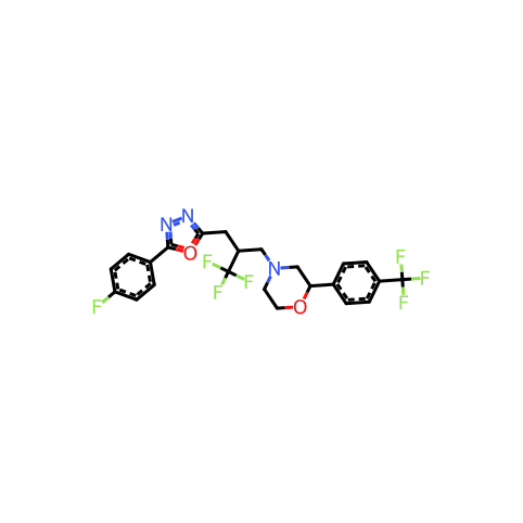 Fc1ccc(-c2nnc(CC(CN3CCOC(c4ccc(C(F)(F)F)cc4)C3)C(F)(F)F)o2)cc1